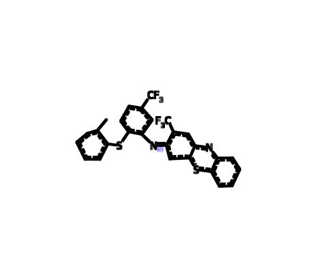 Cc1ccccc1Sc1ccc(C(F)(F)F)cc1/N=c1/cc2sc3ccccc3nc-2cc1C(F)(F)F